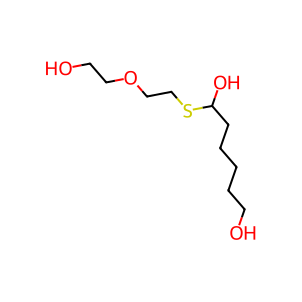 OCCCCCC(O)SCCOCCO